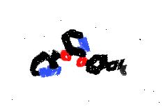 Cc1ccc(Oc2ncccc2OCC2CCCNC2)cc1